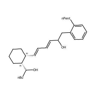 CCCCCc1ccccc1CC(O)C=CC=C[C@H]1CCCC[C@H]1C(O)CCCC